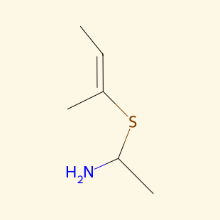 C/C=C(\C)SC(C)N